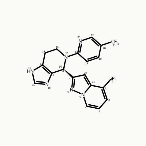 CC(C)c1cccn2nc([C@H]3c4nc[nH]c4CCN3c3ccc(C(F)(F)F)cn3)cc12